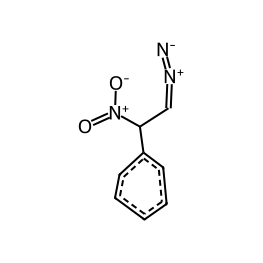 [N-]=[N+]=CC(c1ccccc1)[N+](=O)[O-]